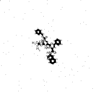 CC(C)(C)OC(=O)N[C@@H](CNC(=O)OCc1ccccc1)C(=O)N[C@@H](CCc1ccccc1)C(=O)Nc1cnc2ccccc2c1